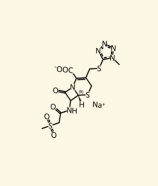 Cn1nnnc1SCC1=C(C(=O)[O-])N2C(=O)C(NC(=O)CS(C)(=O)=O)[C@H]2SC1.[Na+]